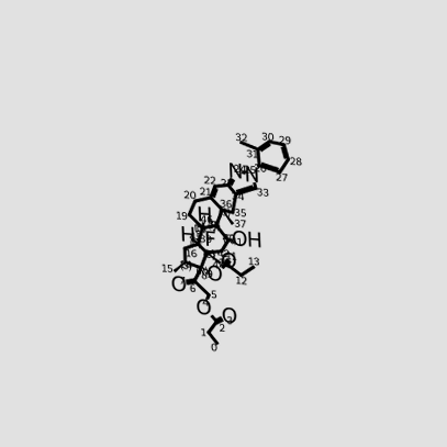 CCC(=O)OCC(=O)[C@@]1(OC(=O)CC)[C@@H](C)C[C@H]2[C@@H]3CCC4=Cc5nn(-c6ccccc6C)cc5C[C@]4(C)[C@@]3(F)[C@@H](O)C[C@@]21C